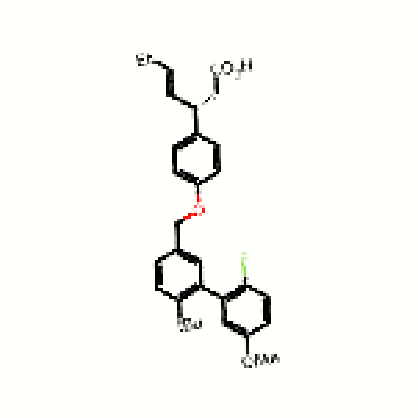 CCC=C[C@H](CC(=O)O)c1ccc(OCc2ccc(C(C)(C)C)c(-c3cc(OC)ccc3F)c2)cc1